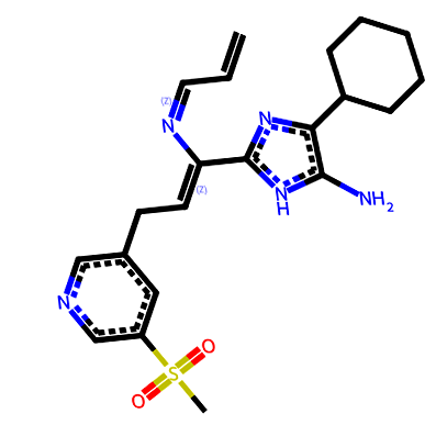 C=C/C=N\C(=C/Cc1cncc(S(C)(=O)=O)c1)c1nc(C2CCCCC2)c(N)[nH]1